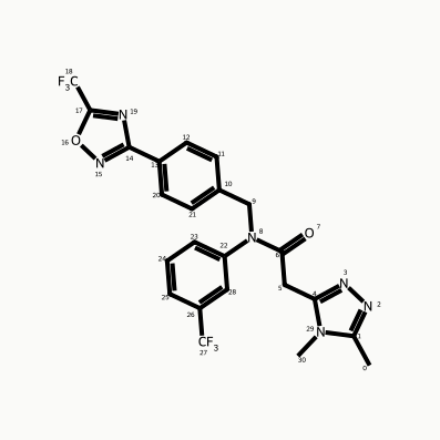 Cc1nnc(CC(=O)N(Cc2ccc(-c3noc(C(F)(F)F)n3)cc2)c2cccc(C(F)(F)F)c2)n1C